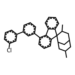 CC1CC2CC(C)C3(c4ccccc4-c4c(-c5cccc(-c6cccc(Cl)c6)c5)cccc43)C(C1)C2